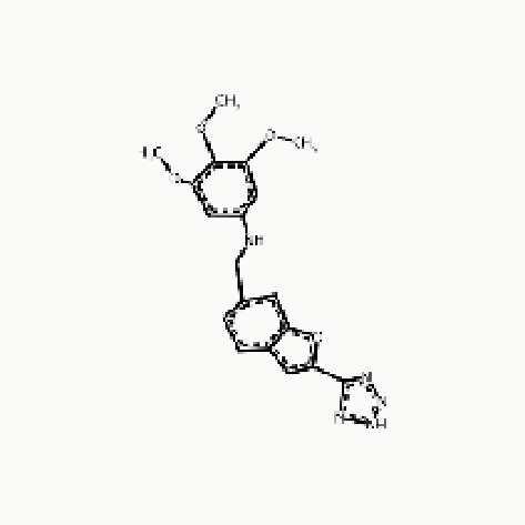 COc1cc(NCc2ccc3cc(-c4nn[nH]n4)oc3c2)cc(OC)c1OC